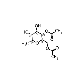 CC(=O)OC[C@H]1O[C@H](C)[C@@H](O)[C@@H](O)[C@@H]1OC(C)=O